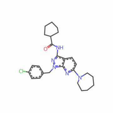 O=C(Nc1nn(Cc2ccc(Cl)cc2)c2nc(N3CCCCCC3)ccc12)C1CCCCC1